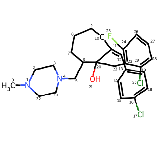 CN1CCN(CC2CCCCC(=Cc3ccc(Cl)cc3)C2(O)Cc2c(F)cccc2Cl)CC1